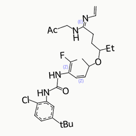 C=C/N=C(\CCC(CC)OC(C)/C=C\C(NC(=O)Nc1cc(C(C)(C)C)ccc1Cl)=C(/C)F)NCC(C)=O